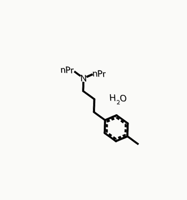 CCCN(CCC)CCCc1ccc(C)cc1.O